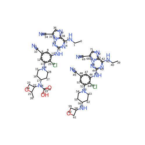 CCNc1nc(Nc2cc(C#N)cc(N3CCC(N(C(=O)O)C4COC4C)CC3)c2Cl)nn2c(C#N)cnc12.CCNc1nc(Nc2cc(C#N)cc(N3CCC(NC4COC4)CC3)c2Cl)nn2c(C#N)cnc12